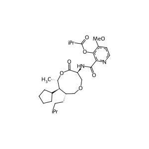 COc1ccnc(C(=O)N[C@H]2COC[C@H](CCC(C)C)[C@@H](C3CCCC3)[C@H](C)OC2=O)c1OC(=O)C(C)C